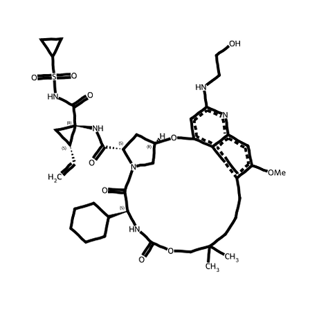 C=C[C@@H]1C[C@]1(NC(=O)[C@@H]1C[C@@H]2CN1C(=O)[C@H](C1CCCCC1)NC(=O)OCC(C)(C)CCCc1cc3c(cc(NCCO)nc3cc1OC)O2)C(=O)NS(=O)(=O)C1CC1